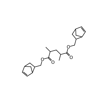 CC(CC(C)C(=O)OCC1CC2C=CC1C2)C(=O)OCC1CC2C=CC1C2